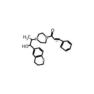 CC(C(O)c1ccc2c(c1)CCCS2)N1CCN(C(=O)/C=C/c2ccccc2)CC1